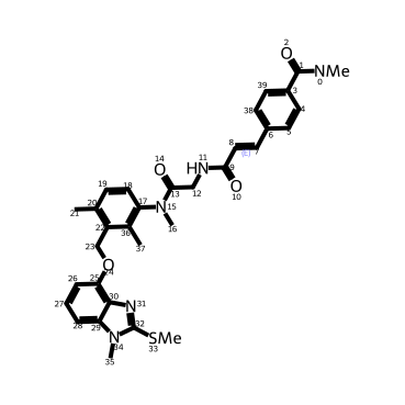 CNC(=O)c1ccc(/C=C/C(=O)NCC(=O)N(C)c2ccc(C)c(COc3cccc4c3nc(SC)n4C)c2C)cc1